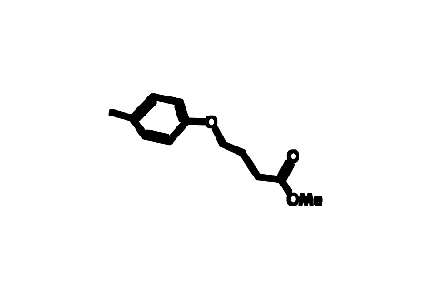 COC(=O)CCCOc1ccc(C)cc1